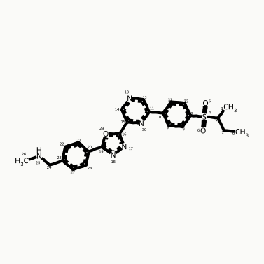 CCC(C)S(=O)(=O)c1ccc(-c2cncc(-c3nnc(-c4ccc(CNC)cc4)o3)n2)cc1